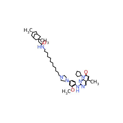 COc1cc(N2CCN(CCCCCCCCCCCCNC(=O)CC3(C)CC4CC(C)CC(C4)C3)CC2)ccc1Nc1ncc2c(C)cc(=O)n(C3CCCC3)c2n1